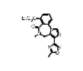 CCOC(=O)c1cccc2c1C(=O)N(C)Cc1c(-c3noc(C)n3)ncn1-2